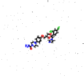 NC(=O)N1CCN(c2ccc(OCC3COC(Cn4ccnc4)(c4ccc(Cl)cc4Cl)O3)cc2)CC1